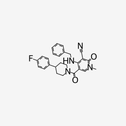 Cn1cc(C(=O)N2CCC(c3ccc(F)cc3)CC2)c(NCc2ccccc2)c(C#N)c1=O